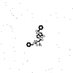 CC(C)C[C@H](NC(=O)OCc1ccccc1)C(=O)N1CC[C@@H]2[C@H]1C(=O)CN2C(=O)c1ccccc1